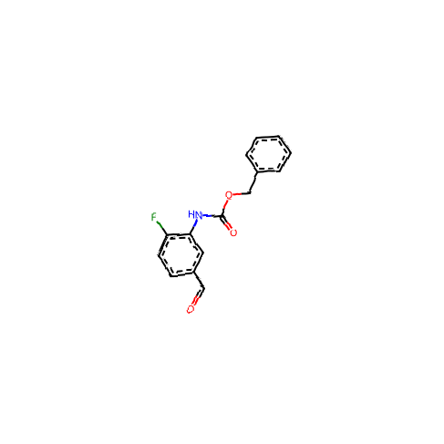 O=Cc1ccc(F)c(NC(=O)OCc2ccccc2)c1